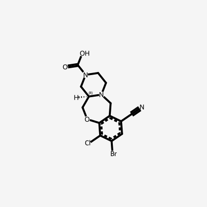 N#Cc1cc(Br)c(Cl)c2c1CN1CCN(C(=O)O)C[C@@H]1CO2